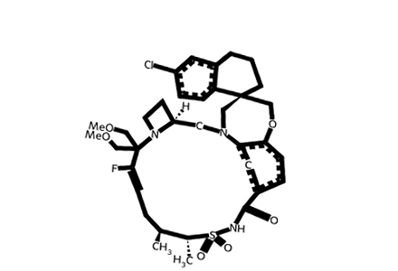 COCC1(COC)/C(F)=C/C[C@H](C)[C@@H](C)S(=O)(=O)NC(=O)c2ccc3c(c2)N(C[C@@H]2CCN21)C[C@@]1(CCCc2cc(Cl)ccc21)CO3